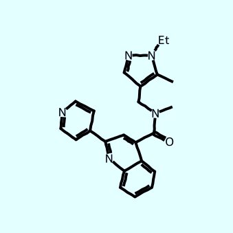 CCn1ncc(CN(C)C(=O)c2cc(-c3ccncc3)nc3ccccc23)c1C